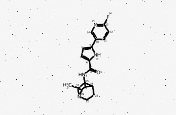 CC1C(NC(=O)c2ccc(-c3ccc(F)nc3)[nH]2)C2CCN1CC2